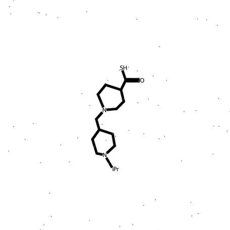 CC(C)N1CCC(CN2CCC(C(=O)S)CC2)CC1